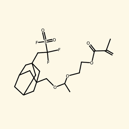 C=C(C)C(=O)OCCOC(C)OCC12CC3CC(C1)CC(CC(F)(F)S(=O)(=O)F)(C3)C2